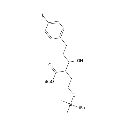 CC(C)COC(=O)C(CCO[Si](C)(C)C(C)(C)C)C(O)CCc1ccc(I)cc1